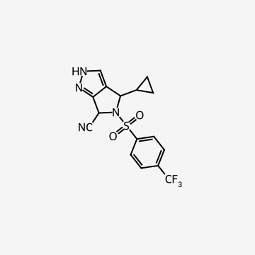 N#CC1c2n[nH]cc2C(C2CC2)N1S(=O)(=O)c1ccc(C(F)(F)F)cc1